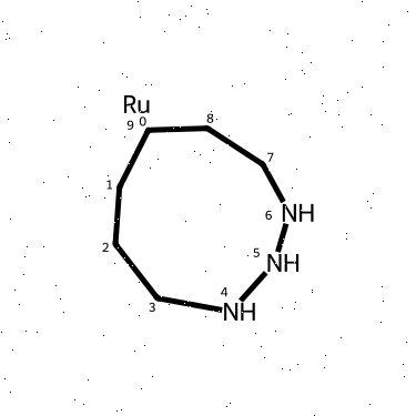 C1CCCNNNCC1.[Ru]